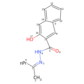 CCC/C(C)=N\NC(=O)c1cc2ccccc2cc1O